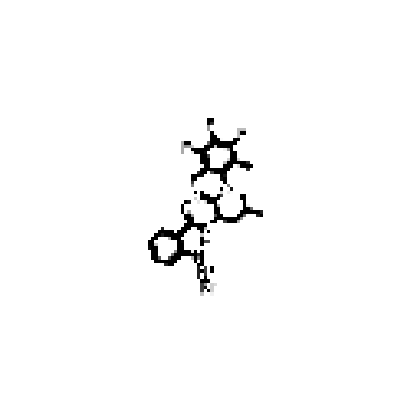 CC(C)CC(NC(=O)c1ccccc1N=[N+]=[N-])C(=O)Oc1c(F)c(F)c(F)c(F)c1F